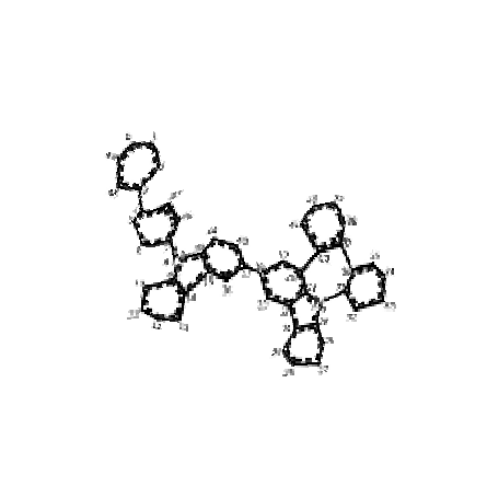 c1ccc(-c2ccc(-n3c4ccccc4c4cc(-c5cc6c7c(c5)c5ccccc5n7-c5ccccc5-c5ccccc5-6)ccc43)cc2)cc1